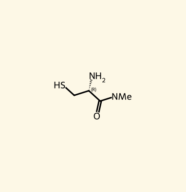 CNC(=O)[C@@H](N)CS